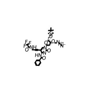 CC(C)(C)[Si](C)(C)OC[C@H]1O[C@@H](n2cc(C#CCNC(=O)C(F)(F)F)c(NC(=O)c3ccccc3)nc2=O)C[C@@H]1OCN=[N+]=[N-]